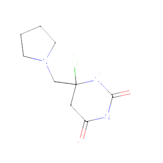 O=C1CC(Cl)(CN2CCCC2)NC(=O)N1